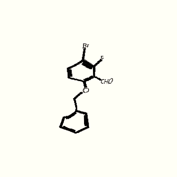 O=Cc1c(OCc2ccccc2)ccc(Br)c1F